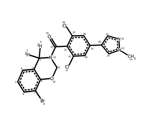 [2H]C1([2H])c2cccc(Br)c2OCN1C(=O)c1c(Cl)cc(-c2cnn(C)c2)cc1Cl